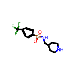 O=S(=O)(NCC1CCNCC1)c1ccc(C(F)(F)F)cc1